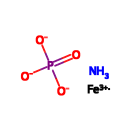 N.O=P([O-])([O-])[O-].[Fe+3]